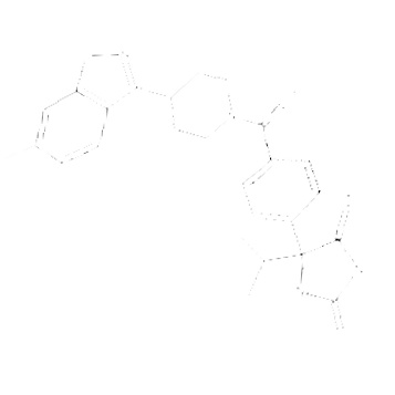 CC(C)C1(c2ccc(C(=O)N3CCC(c4nsc5cc(F)ccc45)CC3)cc2)NC(=O)NC1=O